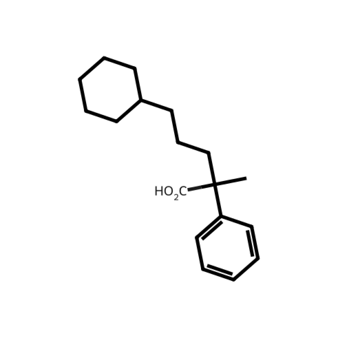 CC(CCCC1CCCCC1)(C(=O)O)c1ccccc1